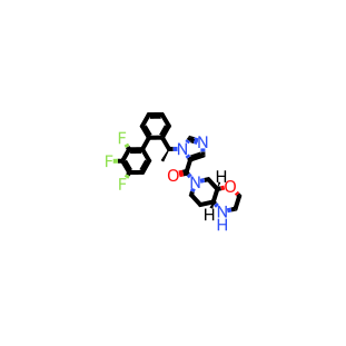 C[C@@H](c1ccccc1-c1ccc(F)c(F)c1F)n1cncc1C(=O)N1CC[C@H]2NCCO[C@@H]2C1